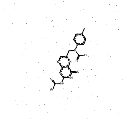 Cc1ccc(N(Cc2cnc3nc(NC(=O)C(C)C)[nH]c(=O)c3n2)C(=O)C(F)(F)F)cc1